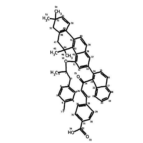 CC(Cc1ccc(F)cc1)Oc1cc(-c2ccc3ccccc3c2C(=O)C=Cc2ccc(C(=O)O)cc2)cc2ccc3c(c12)C(C)(C)CC1=C3C=CC(C)(C)C1